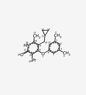 Cc1cc(C)cc(Oc2c(CC3CC3)c(C)[nH]c(=O)c2C(C)C)c1